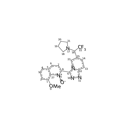 COc1cccc2ccc(-c3nnc4ccc(C(N5CCCC5)C(F)(F)F)cn34)[n+]([O-])c12